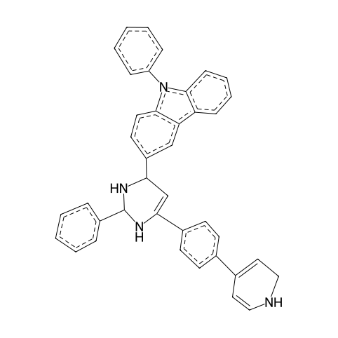 C1=CC(c2ccc(C3=CC(c4ccc5c(c4)c4ccccc4n5-c4ccccc4)NC(c4ccccc4)N3)cc2)=CCN1